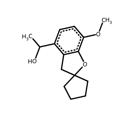 COc1ccc(C(C)O)c2c1OC1(CCCC1)C2